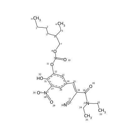 CCCCC(CC)COC(=O)Oc1cc(/C=C(\C#N)C(=O)N(CC)CC)cc([N+](=O)[O-])c1O